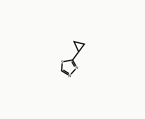 [c]1nnc(C2CC2)s1